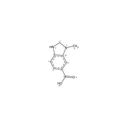 CN1CNc2ccc(C(=O)O)cc21